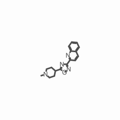 CN1CCC(c2nc(-c3ccc4ccccc4n3)no2)CC1